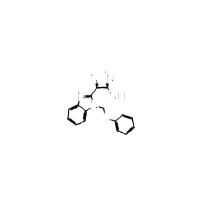 Nc1nonc1-c1nc2ccccc2n1COc1ccccc1